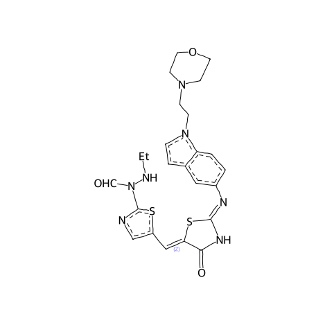 CCNN(C=O)c1ncc(/C=C2\SC(=Nc3ccc4c(ccn4CCN4CCOCC4)c3)NC2=O)s1